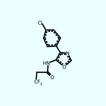 O=C(CC(F)(F)F)Nc1ocnc1-c1ccc(Cl)cc1